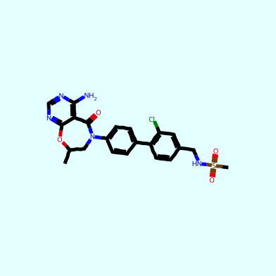 CC1CN(c2ccc(-c3ccc(CNS(C)(=O)=O)cc3Cl)cc2)C(=O)c2c(N)ncnc2O1